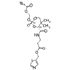 CC(C)(C)C(=O)OCO[P@@]1(=O)OCC(C)(C)[C@H](C(=O)NCCC(=O)OCc2cncs2)O1